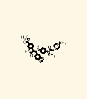 COC(=O)c1ccc2c(c1)NC(=O)C2=C(Nc1ccc(N(C)C(=O)CN2CCN(C)CC2)cc1)c1ccc2ncsc2c1